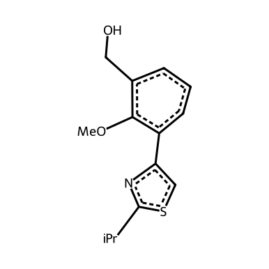 COc1c(CO)cccc1-c1csc(C(C)C)n1